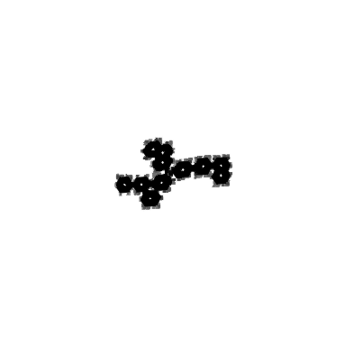 c1ccc(-c2ccc(-c3cccc(N(c4ccc(-c5ccc(-c6cccc7ccccc67)cc5)cc4)c4ccc5c(ccc6ccccc65)c4)c3)c(-c3ccccc3)c2)cc1